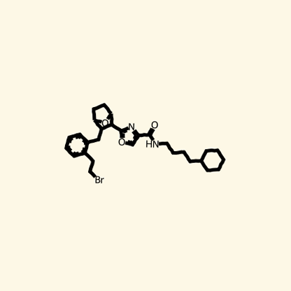 O=C(NCCCCC1CCCCC1)c1coc(C2C3CCC(O3)C2Cc2ccccc2CCBr)n1